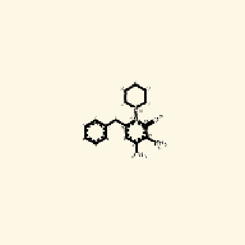 Cc1cc(Cc2ccccc2)n(N2CCCCC2)c(=O)c1N